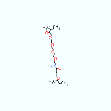 CCC(C)OCCCC(=O)NCCOCCOCCOCCOCC(=O)C(C)CC